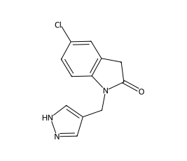 O=C1Cc2cc(Cl)ccc2N1Cc1cn[nH]c1